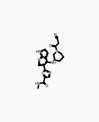 CNC(=O)c1cnc(-c2cnc3[nH]ccc3c2N[C@@H]2CCCN(C(=O)CC#N)C2)s1